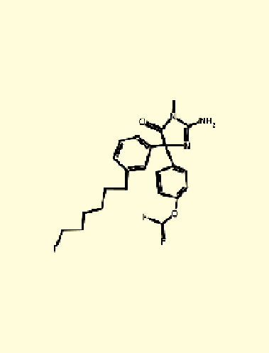 CN1C(=O)C(c2ccc(OC(F)F)cc2)(c2cccc(CCCCCCF)c2)N=C1N